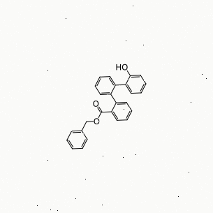 O=C(OCc1ccccc1)c1ccccc1-c1ccccc1-c1ccccc1O